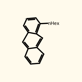 CCCCCCc1c[c]cc2cc3ccccc3cc12